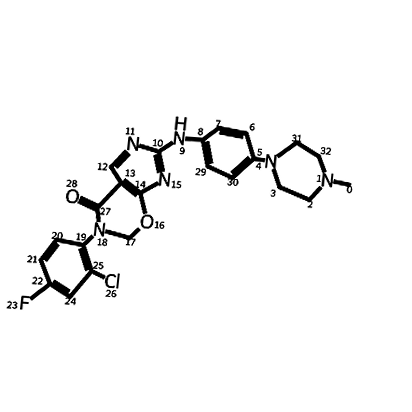 CN1CCN(c2ccc(Nc3ncc4c(n3)OCN(c3ccc(F)cc3Cl)C4=O)cc2)CC1